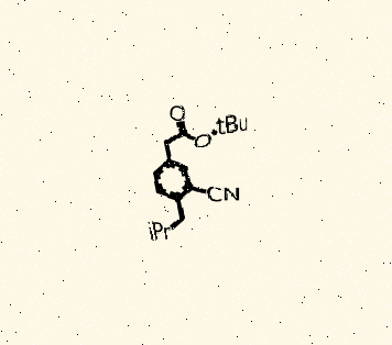 CC(C)Cc1ccc(CC(=O)OC(C)(C)C)cc1C#N